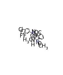 CNC(=O)/C(=N/OC)c1cccc(C)c1CO/N=C(\C)c1ccc(Cl)c(C(F)(F)F)c1